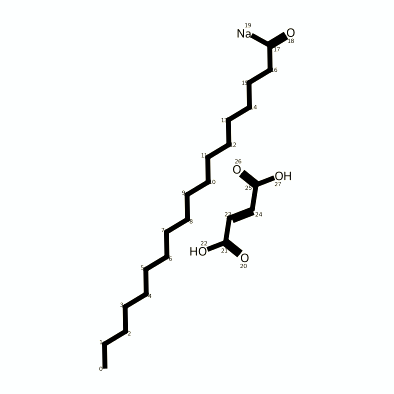 CCCCCCCCCCCCCCCCC[C](=O)[Na].O=C(O)/C=C/C(=O)O